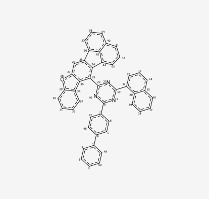 c1ccc(-c2ccc(-c3nc(-c4cccc5ccccc45)nc(-c4c5c(cc6oc7ccccc7c46)-c4cccc6cccc-5c46)n3)cc2)cc1